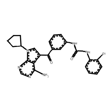 CCc1ccccc1NC(=O)Nc1cccc(C(=O)c2cn(C3CCCC3)c3ncnc(N)c23)c1